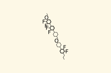 CCCc1ccc(C2CCC(OCC3CCC(c4ccc(-c5ccc(OCC)c(F)c5F)c(F)c4F)CC3)CC2)c(F)c1F